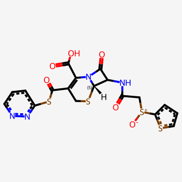 O=C(C[S+]([O-])c1cccs1)NC1C(=O)N2C(C(=O)O)=C(C(=O)Sc3cccnn3)CS[C@@H]12